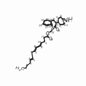 CCCCCCCCCCCCCC(=O)OCn1c(=O)c(C2CCNCC2)cc2ccccc21